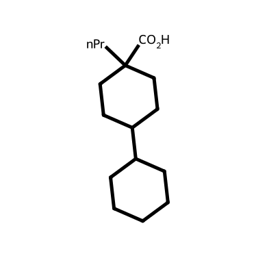 CCCC1(C(=O)O)CCC(C2CCCCC2)CC1